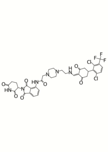 O=C1CCC(N2C(=O)c3cccc(NC(=O)CN4CCN(CCNC=C5C(=O)CC(c6c(Cl)ccc(C(F)(F)F)c6Cl)CC5=O)CC4)c3C2=O)C(=O)N1